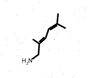 CC(C)=C/C=C(\C)CN